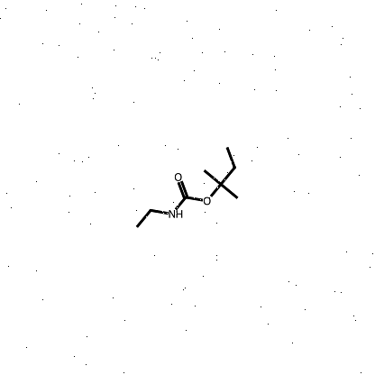 CCNC(=O)OC(C)(C)CC